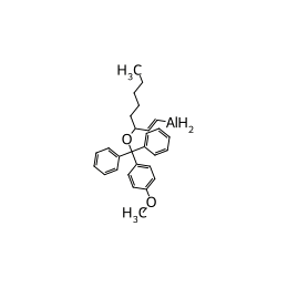 CCCCCC(/C=[CH]/[AlH2])OC(c1ccccc1)(c1ccccc1)c1ccc(OC)cc1